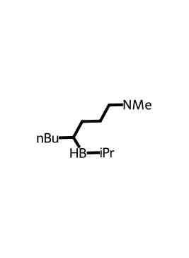 CCCCC(BC(C)C)CCCNC